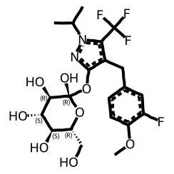 COc1ccc(Cc2c(O[C@]3(O)O[C@H](CO)[C@@H](O)[C@H](O)[C@H]3O)nn(C(C)C)c2C(F)(F)F)cc1F